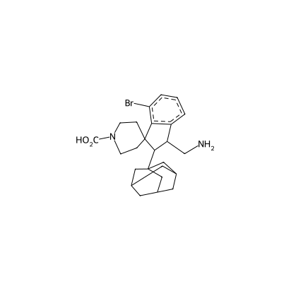 NCC1c2cccc(Br)c2C2(CCN(C(=O)O)CC2)C1C12CC3CC(CC(C3)C1)C2